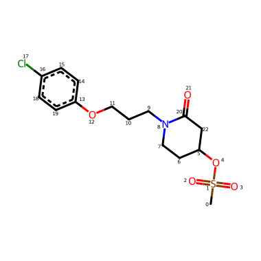 CS(=O)(=O)OC1CCN(CCCOc2ccc(Cl)cc2)C(=O)C1